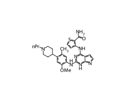 CCCN1CCC(c2cc(OC)c(Nc3nc(Nc4ccsc4C(N)=O)c4ccnc-4[nH]3)cc2C)CC1